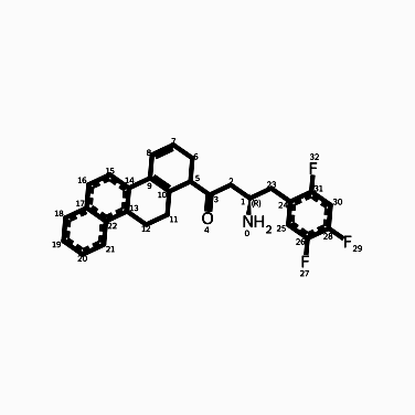 N[C@@H](CC(=O)C1CC=CC2=C1CCc1c2ccc2ccccc12)Cc1cc(F)c(F)cc1F